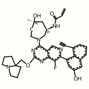 C#Cc1cccc2cc(O)cc(-c3ncc4c(N5CC[C@@](C)(O)C[C@@H](NC(=O)C=C)C5)nc(OCC56CCCN5CCC6)nc4c3F)c12